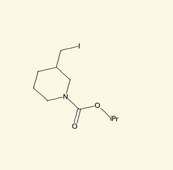 CC(C)OC(=O)N1CCCC(CI)C1